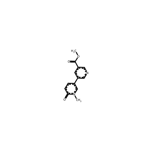 COC(=O)c1cncc(-c2ccc(=O)n(C)c2)c1